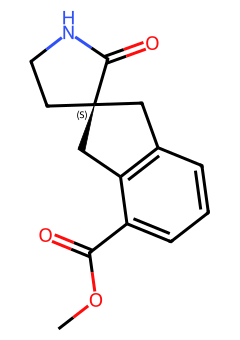 COC(=O)c1cccc2c1C[C@]1(CCNC1=O)C2